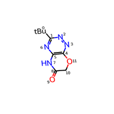 CC(C)(C)c1nnc2c(n1)NC(=O)CO2